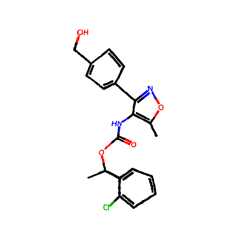 Cc1onc(-c2ccc(CO)cc2)c1NC(=O)OC(C)c1ccccc1Cl